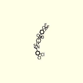 O=S(=O)(c1ccc(OC(F)(F)F)cc1)N1CCN(c2nc(-c3ccc(Cl)c(Cl)c3)cs2)CC1